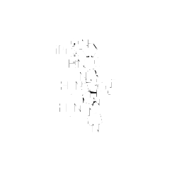 CC(C)S(=O)(=O)c1ncccc1NC1=NC(N)(c2cc(N)c(N3CCN(C)CC3)nc2OC(F)F)NC=C1Cl